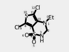 CCN1CNS(=O)(=O)c2c(Cl)sc(Cl)c21